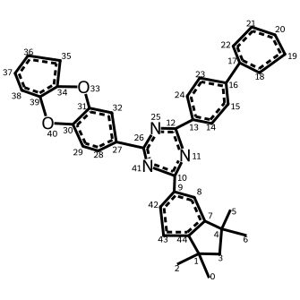 CC1(C)CC(C)(C)c2cc(-c3nc(-c4ccc(-c5ccccc5)cc4)nc(-c4ccc5c(c4)Oc4ccccc4O5)n3)ccc21